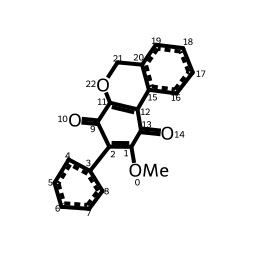 COC1=C(c2ccccc2)C(=O)C2=C(C1=O)c1ccccc1CO2